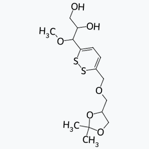 COC(C1=CC=C(COCC2COC(C)(C)O2)SS1)C(O)CO